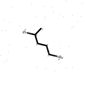 [CH2]CCCCCCC(C)[C](C)C